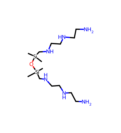 C[Si](C)(CNCCNCCN)O[Si](C)(C)CNCCNCCN